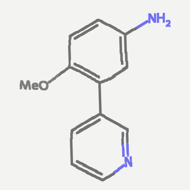 COc1ccc(N)cc1-c1cccnc1